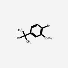 COc1cc(C(C)(C)O)ccc1Br